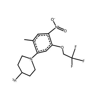 [2H]C1CCN(c2cc(OCC(F)(F)F)c([N+](=O)[O-])cc2C)CC1